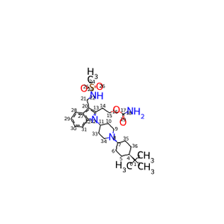 CC(C)(C)[C@H]1CC[C@@H](N2CCC(n3c(CCOC(N)=O)c(CNS(C)(=O)=O)c4ccccc43)CC2)CC1